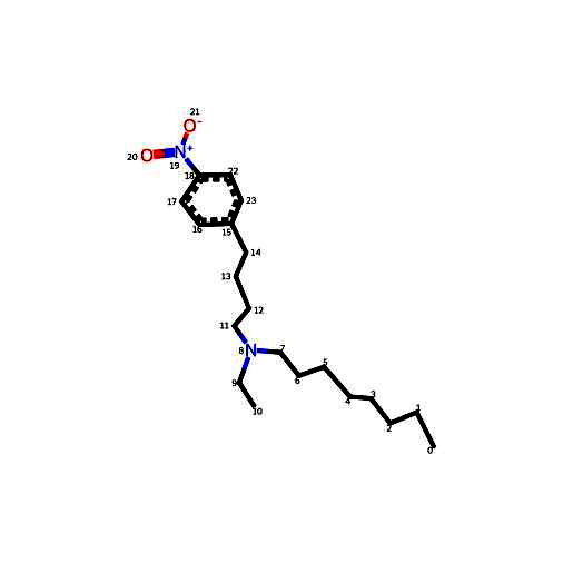 CCCCCCCCN(CC)CCCCc1ccc([N+](=O)[O-])cc1